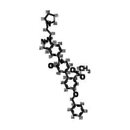 CS(=O)(=O)c1cc(OCc2ccccc2)ccc1-c1ccn(-c2ccc3c(cnn3CCN3CCCC3)c2)c(=O)c1